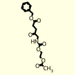 CC(=O)OCCOC(=O)NCC(=O)CCC(=O)OCc1ccccc1